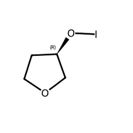 IO[C@@H]1CCOC1